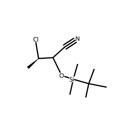 C[C@@H](Cl)C(C#N)O[Si](C)(C)C(C)(C)C